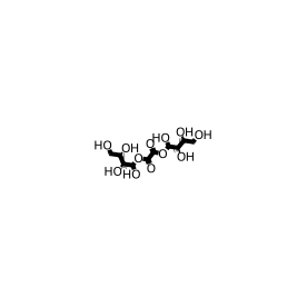 O=C(OC(O)[C@@H](O)[C@@H](O)CO)C(=O)OC(O)[C@@H](O)[C@@H](O)CO